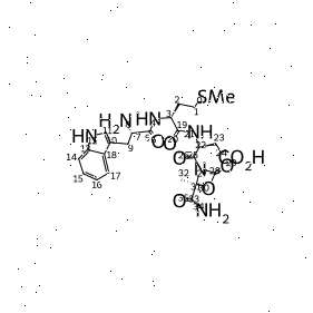 CSCC[C@H](NC(=O)[C@@H](N)Cc1c[nH]c2ccccc12)C(=O)N[C@@H](CC(=O)O)C(=O)N1C(=O)O[C@@]1(C)C(N)=O